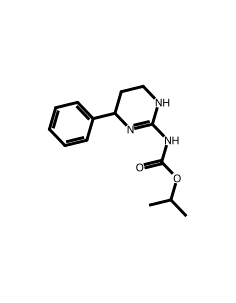 CC(C)OC(=O)NC1=NC(c2ccccc2)CCN1